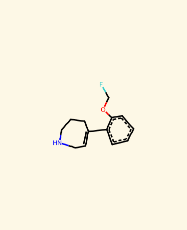 FCOc1ccccc1C1=CCNCCC1